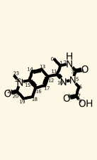 CC1NC(=O)N(CC(=O)O)N=C1c1ccc2c(c1)CCC(=O)N2C